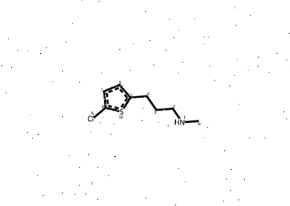 CNCCCc1ccc(Cl)s1